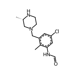 Cc1c(CN2CCN[C@@H](C)C2)cc(Cl)cc1NC=O